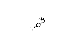 COCC1(CO)C(=O)C2CCN1[C@H](c1ccc(C(C)(C)[SH](=O)=O)cc1)C2